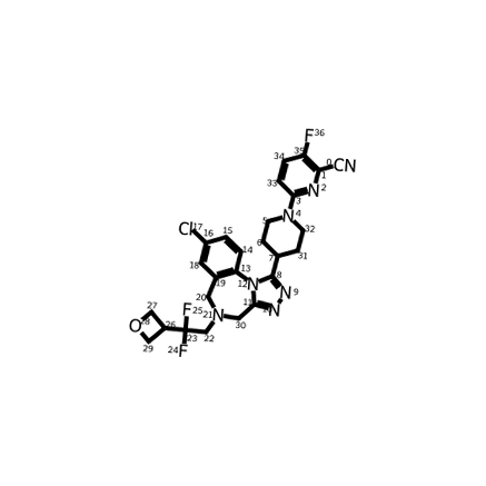 N#Cc1nc(N2CCC(c3nnc4n3-c3ccc(Cl)cc3CN(CC(F)(F)C3COC3)C4)CC2)ccc1F